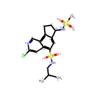 CC(C)CNS(=O)(=O)c1cc2c(c3cnc(Cl)cc13)CCC2NS(C)(=O)=O